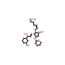 CCC1CCCC([C@H](O)/C=C/[C@@H]2[C@@H](C/C=C\CCCC(=O)O)[C@@H](O)C[C@H]2OC2CCCCO2)C1